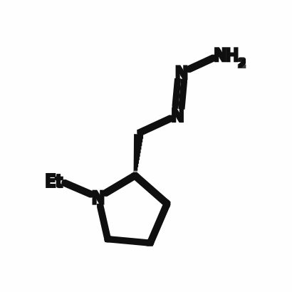 CCN1CCC[C@H]1CN=NN